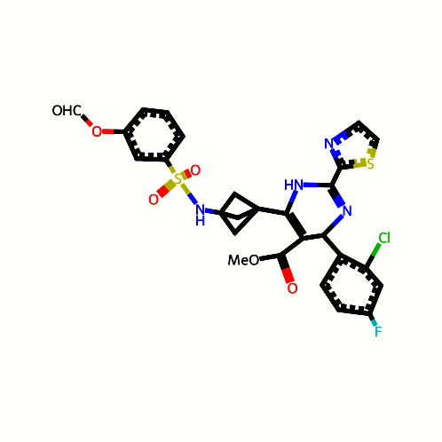 COC(=O)C1=C(C23CC(NS(=O)(=O)c4cccc(OC=O)c4)(C2)C3)NC(c2nccs2)=NC1c1ccc(F)cc1Cl